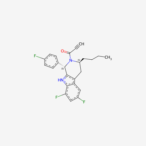 C#CC(=O)N1[C@@H](CCCC)Cc2c([nH]c3c(F)cc(F)cc23)[C@@H]1c1ccc(F)cc1